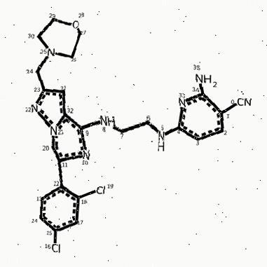 N#Cc1ccc(NCCNc2nc(-c3ccc(Cl)cc3Cl)cn3nc(CN4CCOCC4)cc23)nc1N